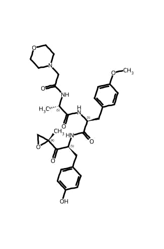 COc1ccc(C[C@H](NC(=O)[C@H](C)NC(=O)CN2CCOCC2)C(=O)N[C@@H](Cc2ccc(O)cc2)C(=O)[C@@]2(C)CO2)cc1